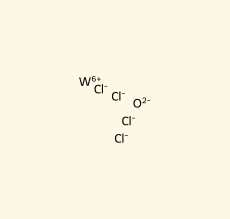 [Cl-].[Cl-].[Cl-].[Cl-].[O-2].[W+6]